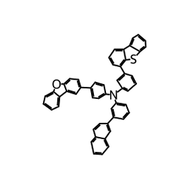 c1cc(-c2ccc3ccccc3c2)cc(N(c2ccc(-c3ccc4oc5ccccc5c4c3)cc2)c2cccc(-c3cccc4c3sc3ccccc34)c2)c1